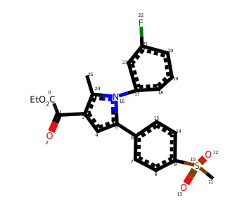 CCOC(=O)C(=O)c1cc(-c2ccc(S(C)(=O)=O)cc2)n(-c2cccc(F)c2)c1C